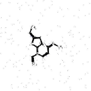 C=CN(/C=C\C(N)=N/C)C1CC/C(=C\C)S1